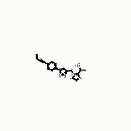 C=CC#Cc1ccc(-c2cc(Cn3ccnc3C(C)O)no2)cc1